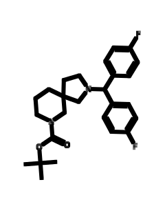 CC(C)(C)OC(=O)N1CCCC2(CCN(C(c3ccc(F)cc3)c3ccc(F)cc3)C2)C1